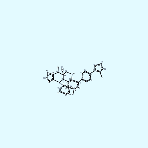 Cc1nc(-c2ccc(-c3cncn3C)cc2)c2c(n1)[C@@]1(c3ccccc3)Cc3cnoc3[C@@H](C)[C@@H]1CC2